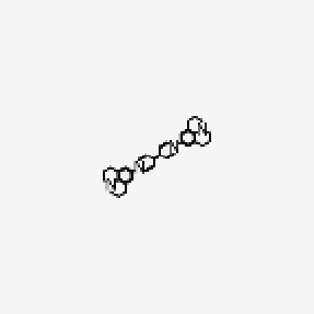 C1=CN(c2cc3c4c(c2)CCCN4CCC3)C=CC1=C1C=CN(c2cc3c4c(c2)CCCN4CCC3)C=C1